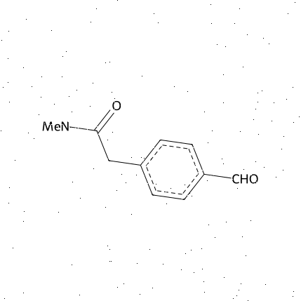 CNC(=O)Cc1ccc(C=O)cc1